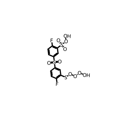 O=S(=O)(OO)c1cc(S(=O)(=O)c2ccc(F)c(SOOOO)c2)ccc1F